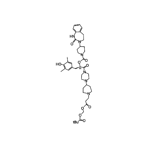 Cc1cc(C[C@@H](OC(=O)N2CCC(N3CCc4ccccc4NC3=O)CC2)C(=O)N2CCN(C3CCN(CCC(=O)OCOC(=O)C(C)(C)C)CC3)CC2)cc(C)c1O